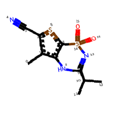 Cc1c(C#N)sc2c1NC(C(C)C)=NS2(=O)=O